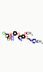 COc1cc2c(Oc3cccc(NS(=O)(=O)C4=C(Cl)SC(Cl)C4)c3)ccnc2cc1OCCCN1CCN(C)CC1